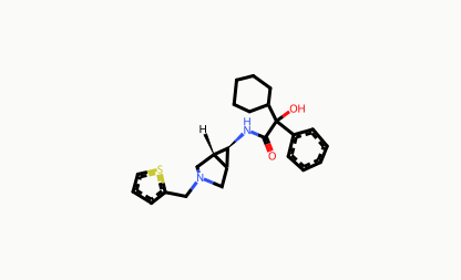 O=C(N[C@H]1C2CN(Cc3cccs3)C[C@@H]21)C(O)(c1ccccc1)C1CCCCC1